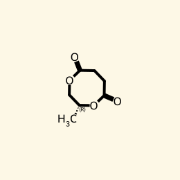 C[C@@H]1COC(=O)CCC(=O)O1